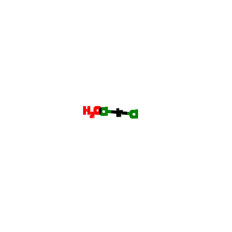 O.[Cl][Ir][Cl]